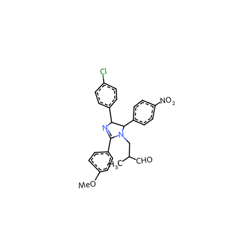 COc1ccc(C2=NC(c3ccc(Cl)cc3)C(c3ccc([N+](=O)[O-])cc3)N2CC(C)C=O)cc1